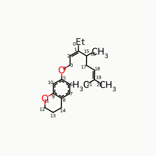 CCC(=CCOc1ccc2c(c1)OCCC2)C(C)CC=C(C)C